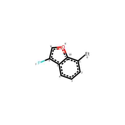 CCc1cccc2c(F)coc12